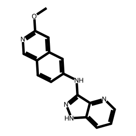 COc1cc2cc(Nc3n[nH]c4cccnc34)ccc2cn1